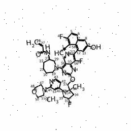 C#Cc1c(F)ccc2cc(O)cc(-c3ncc4c(N5CCCCC(NC(=O)C=C)C5)nc(OC[C@]5(C)C[C@@H](F)CN5c5ccnc(N6CCOC[C@H]6C)c5)nc4c3F)c12